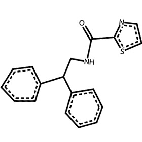 O=C(NCC(c1ccccc1)c1ccccc1)c1nccs1